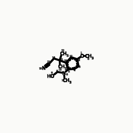 COc1ccc(N(C)CO)c(C(C)(C)CC#N)c1